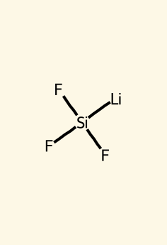 [Li][Si](F)(F)F